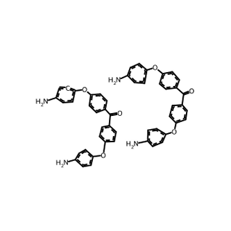 Nc1ccc(Oc2ccc(C(=O)c3ccc(Oc4ccc(N)cc4)cc3)cc2)cc1.Nc1ccc(Oc2ccc(C(=O)c3ccc(Oc4ccc(N)cc4)cc3)cc2)cc1